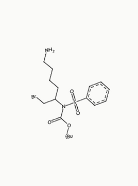 CC(C)(C)OC(=O)N(C(CBr)CCCCN)S(=O)(=O)c1ccccc1